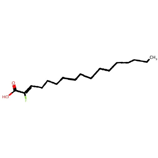 CCCCCCCCCCCCCCC=C(F)C(=O)O